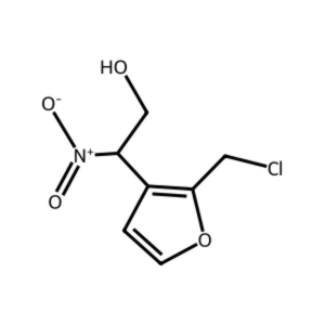 O=[N+]([O-])C(CO)c1ccoc1CCl